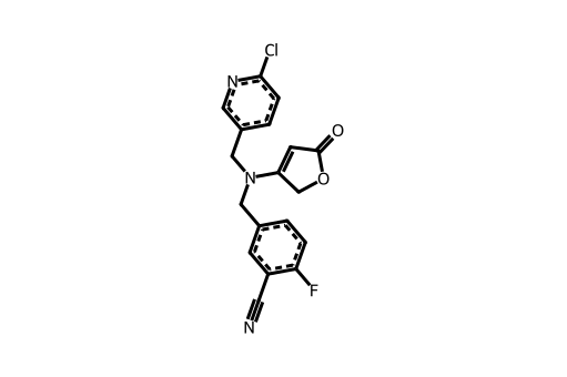 N#Cc1cc(CN(Cc2ccc(Cl)nc2)C2=CC(=O)OC2)ccc1F